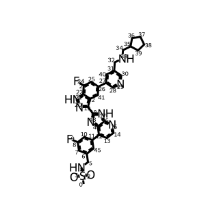 CS(=O)(=O)NCc1cc(F)cc(-c2ccnc3[nH]c(-c4n[nH]c5c(F)cc(-c6cncc(CNCC7CCCC7)c6)cc45)nc23)c1